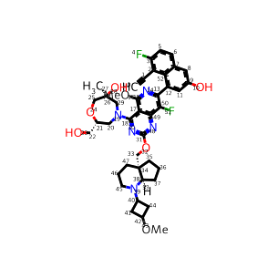 C#Cc1c(F)ccc2cc(O)cc(-c3nc(OC)c4c(N5C[C@H](CO)OC[C@@](C)(O)C5)nc(OC[C@]56CCC[C@H]5N(C5CC(OC)C5)CCC6)nc4c3F)c12